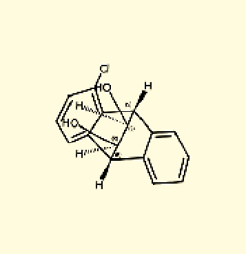 O[C@@H]1[C@@H]2c3ccccc3[C@@H](c3c(Cl)cccc32)[C@@H]1O